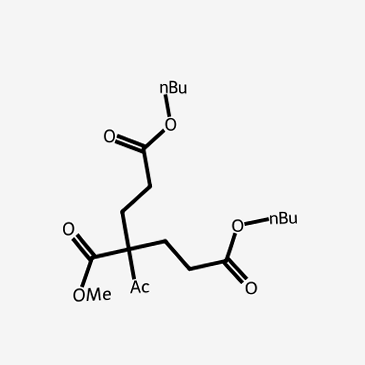 CCCCOC(=O)CCC(CCC(=O)OCCCC)(C(C)=O)C(=O)OC